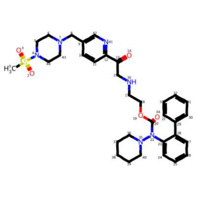 CS(=O)(=O)N1CCN(Cc2ccc(C(=O)CNCCOC(=O)N(c3ccccc3-c3ccccc3)N3CC[CH]CC3)nc2)CC1